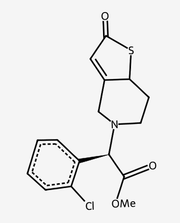 COC(=O)[C@@H](c1ccccc1Cl)N1CCC2SC(=O)C=C2C1